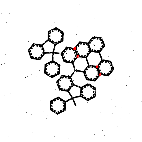 CC1(c2ccccc2)c2ccccc2-c2c(N(c3cccc(C4(c5ccccc5)c5ccccc5-c5ccccc54)c3)c3ccccc3-c3cccc4cccc(-c5ccccc5)c34)cccc21